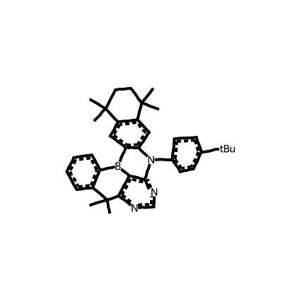 CC(C)(C)c1ccc(N2c3cc4c(cc3B3c5ccccc5C(C)(C)c5ncnc2c53)C(C)(C)CCC4(C)C)cc1